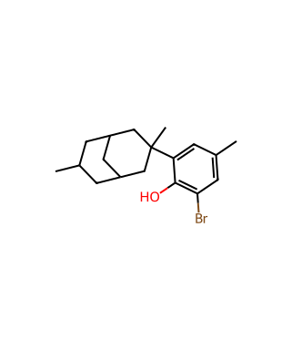 Cc1cc(Br)c(O)c(C2(C)CC3CC(C)CC(C3)C2)c1